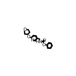 O=C(NCc1ccc(OC2CCOCC2)nc1)Oc1ccccc1